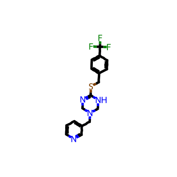 FC(F)(F)c1ccc(CSC2=NCN(Cc3cccnc3)CN2)cc1